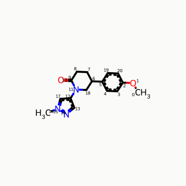 COc1ccc(C2CCC(=O)N(c3cnn(C)c3)C2)cc1